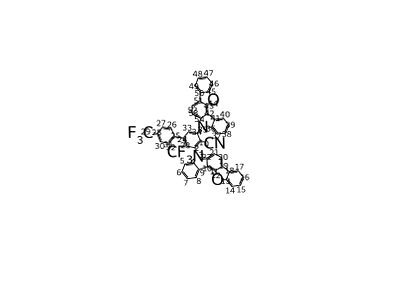 N#Cc1c(-n2c3ccccc3c3c4oc5ccccc5c4ccc32)cc(-c2ccc(C(F)(F)F)cc2C(F)(F)F)cc1-n1c2ccccc2c2c3oc4ccccc4c3ccc21